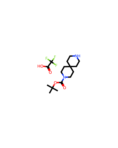 CC(C)(C)OC(=O)N1CCC2(CCNCC2)CC1.O=C(O)C(F)(F)F